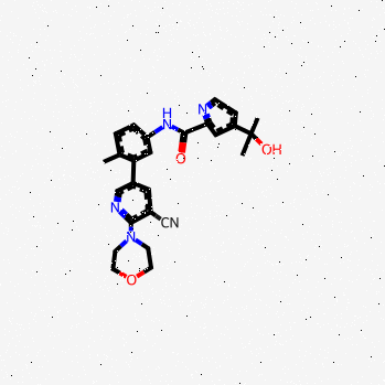 Cc1ccc(NC(=O)c2cc(C(C)(C)O)ccn2)cc1-c1cnc(N2CCOCC2)c(C#N)c1